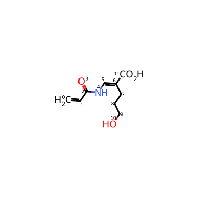 C=CC(=O)NC=C(CCCO)C(=O)O